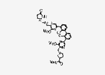 CNC(=O)C1CCN(Cc2ncc(-c3cccc(-c4cccc(-c5cnc(CNC[C@@H]6CCC(=O)N6)c(OC)n5)c4Cl)c3Cl)nc2OC)C1